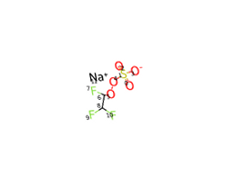 O=S(=O)([O-])OOC(F)C(F)F.[Na+]